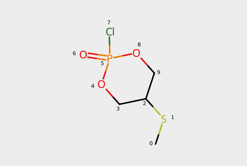 CSC1COP(=O)(Cl)OC1